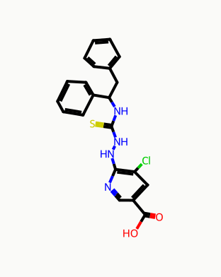 O=C(O)c1cnc(NNC(=S)NC(Cc2ccccc2)c2ccccc2)c(Cl)c1